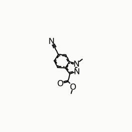 COC(=O)c1nn(C)c2cc(C#N)ccc12